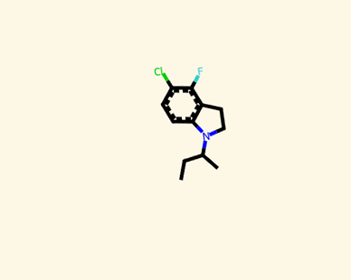 CCC(C)N1CCc2c1ccc(Cl)c2F